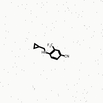 N#Cc1ccc(NCC2CC2)c(C(F)(F)F)c1